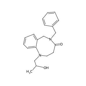 CC(O)CN1CCC(=O)N(Cc2ccccc2)Cc2ccccc21